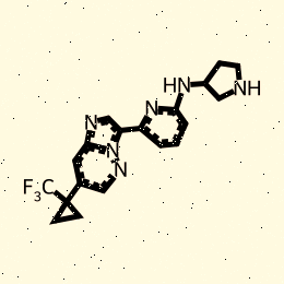 FC(F)(F)C1(c2cnn3c(-c4cccc(NC5CCNC5)n4)cnc3c2)CC1